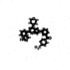 CN1CCN(C(=O)c2cccc(-c3cc4nc(-c5cccc6[nH]ncc56)nc(N5CCOCC5)c4s3)c2)CC1